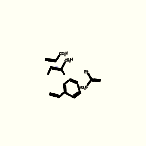 C/C=C(\C)C(=O)O.C=C(CC)C(=O)O.C=CC(=O)O.C=Cc1ccccc1